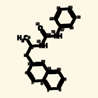 CC(Cc1ccc2ccccc2c1)NC(=O)Nc1ccccc1